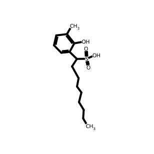 CCCCCCCCC(c1cccc(C)c1O)S(=O)(=O)O